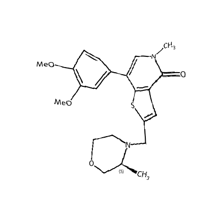 COc1ccc(-c2cn(C)c(=O)c3cc(CN4CCOC[C@@H]4C)sc23)cc1OC